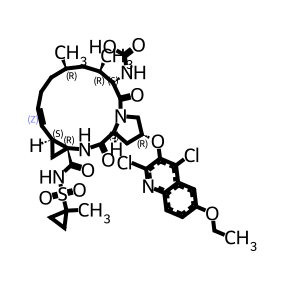 CCOc1ccc2nc(Cl)c(O[C@@H]3C[C@H]4C(=O)N[C@]5(C(=O)NS(=O)(=O)C6(C)CC6)C[C@H]5/C=C\CC[C@@H](C)C[C@@H](C)[C@H](NC(=O)O)C(=O)N4C3)c(Cl)c2c1